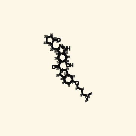 CN(C)CCCOc1ccc2c(c1)CN(C(=O)c1cc3c(CN4CCCC4=O)n[nH]c3cc1O)C2